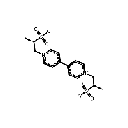 CC(C[n+]1ccc(-c2cc[n+](C[C@@H](C)S(=O)(=O)[O-])cc2)cc1)S(=O)(=O)[O-]